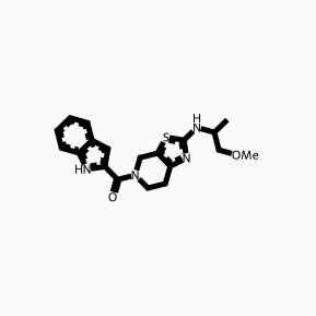 COCC(C)Nc1nc2c(s1)CN(C(=O)c1cc3ccccc3[nH]1)CC2